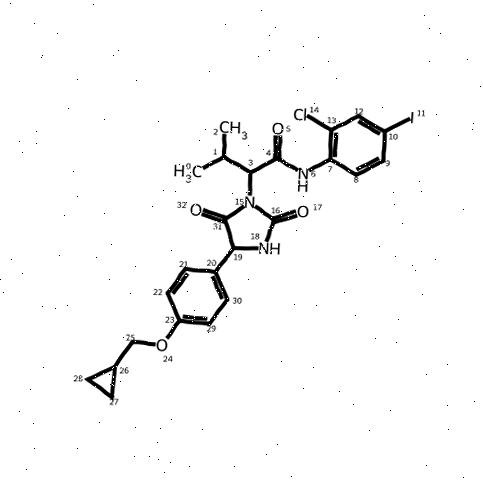 CC(C)C(C(=O)Nc1ccc(I)cc1Cl)N1C(=O)NC(c2ccc(OCC3CC3)cc2)C1=O